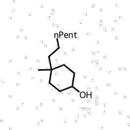 CCCCCCCC1(C)CCC(O)CC1